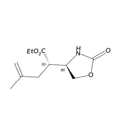 C=C(C)C[C@H](C(=O)OCC)[C@@H]1COC(=O)N1